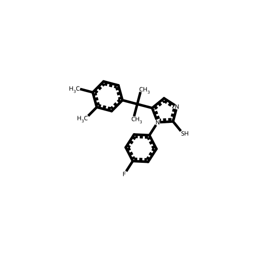 Cc1ccc(C(C)(C)c2cnc(S)n2-c2ccc(F)cc2)cc1C